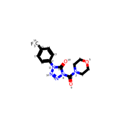 O=C(N1CCOCC1)n1nnn(-c2ccc(C(F)(F)F)cc2)c1=O